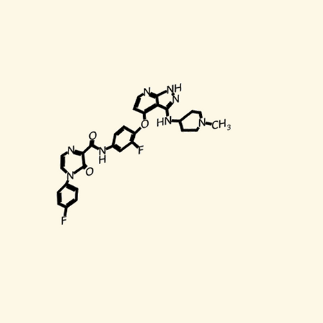 CN1CCC(Nc2n[nH]c3nccc(Oc4ccc(NC(=O)c5nccn(-c6ccc(F)cc6)c5=O)cc4F)c23)CC1